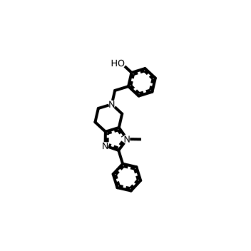 Cn1c(-c2ccccc2)nc2c1CN(Cc1ccccc1O)CC2